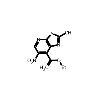 C=C(OCC)c1c([N+](=O)[O-])cnc2sc(C)nc12